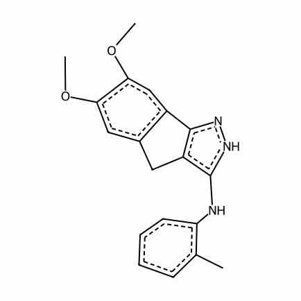 COc1cc2c(cc1OC)-c1n[nH]c(Nc3ccccc3C)c1C2